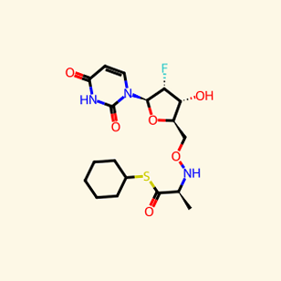 C[C@H](NOC[C@H]1O[C@@H](n2ccc(=O)[nH]c2=O)[C@H](F)[C@@H]1O)C(=O)SC1CCCCC1